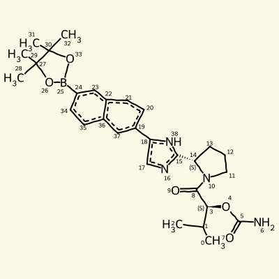 CC(C)[C@H](OC(N)=O)C(=O)N1CCC[C@H]1c1ncc(-c2ccc3cc(B4OC(C)(C)C(C)(C)O4)ccc3c2)[nH]1